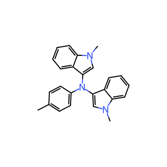 Cc1ccc(N(c2cn(C)c3ccccc23)c2cn(C)c3ccccc23)cc1